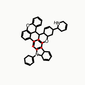 C1=CCCC(N2C3C=CC=CC3C3C=CC(c4cccc5c4C(C4C6C=CC=CC6OC6CC(C7CC=CCN7)C=CC64)c4ccccc4O5)=CC32)=C1